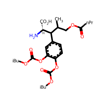 CCCC(=O)OCC(C)C(c1ccc(OC(=O)OC(C)CC)c(OC(=O)OC(C)CC)c1)[C@H](N)C(=O)O